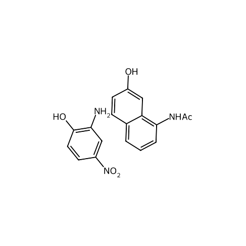 CC(=O)Nc1cccc2ccc(O)cc12.Nc1cc([N+](=O)[O-])ccc1O